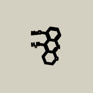 COc1cccc2nc3c(c(N)c12)CCCO3